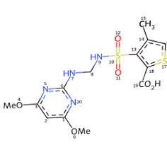 COc1cc(OC)nc(NCNS(=O)(=O)c2c(C)csc2C(=O)O)n1